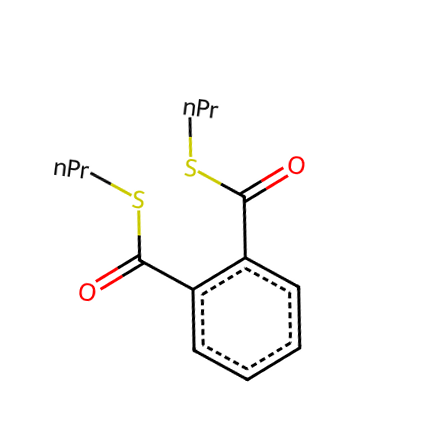 CCCSC(=O)c1ccccc1C(=O)SCCC